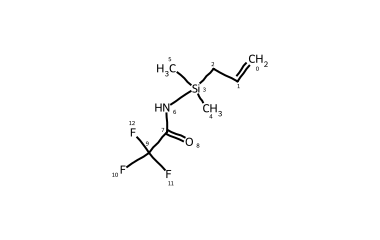 C=CC[Si](C)(C)NC(=O)C(F)(F)F